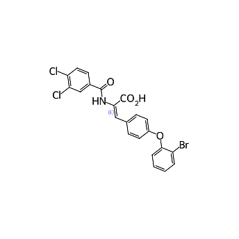 O=C(O)/C(=C\c1ccc(Oc2ccccc2Br)cc1)NC(=O)c1ccc(Cl)c(Cl)c1